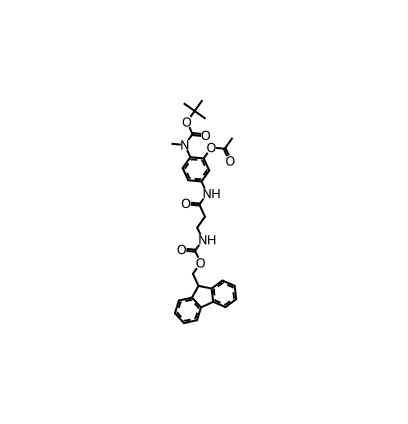 CC(=O)Oc1cc(NC(=O)CCNC(=O)OCC2c3ccccc3-c3ccccc32)ccc1N(C)C(=O)OC(C)(C)C